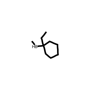 CBC1(CC)CCCCC1